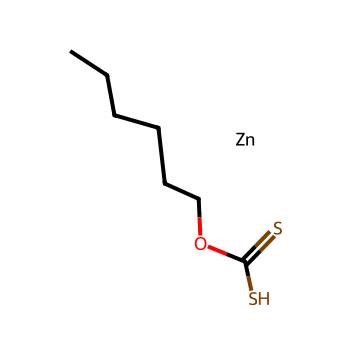 CCCCCCOC(=S)S.[Zn]